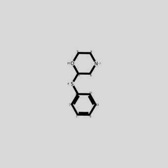 c1ccc(SC2C[N]CCO2)cc1